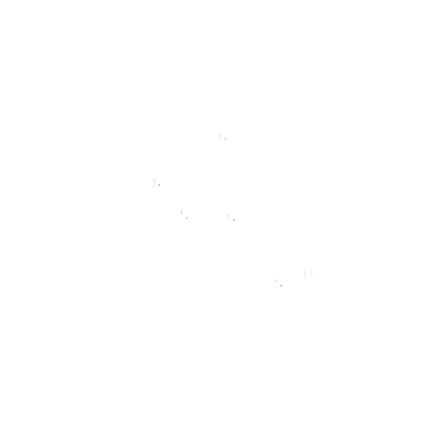 CN(C)c1cccc(Nc2nc(Cl)nc3c2CN(Cc2ccccc2)CC3)c1